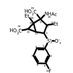 CCC1C([S+]([O-])c2cccc(F)c2)C2C(C(=O)O)C2(CC)C1(NC(C)=O)C(=O)O